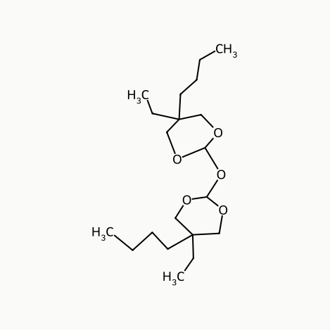 CCCCC1(CC)COC(OC2OCC(CC)(CCCC)CO2)OC1